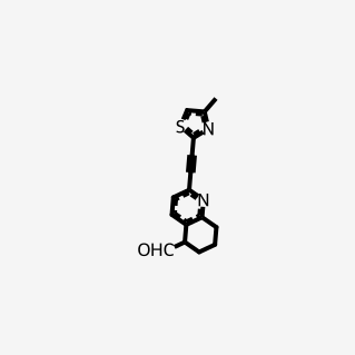 Cc1csc(C#Cc2ccc3c(n2)CCCC3C=O)n1